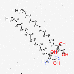 CCCCCCCCCCCCCCC[C@H](O)[C@@H](N)CO.CCCCCCCCCCCCCCC[C@H](O)[C@@H](N)CO